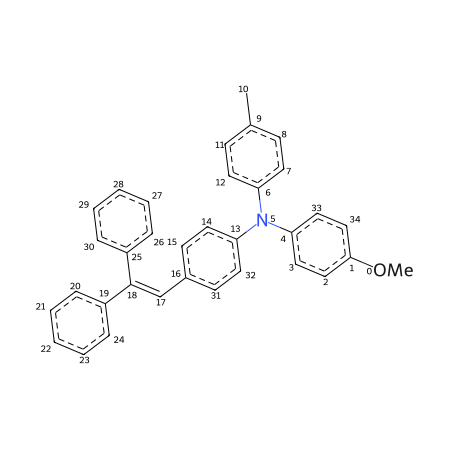 COc1ccc(N(c2ccc(C)cc2)c2ccc(C=C(c3ccccc3)c3ccccc3)cc2)cc1